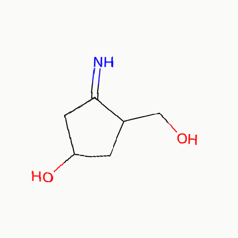 N=C1CC(O)CC1CO